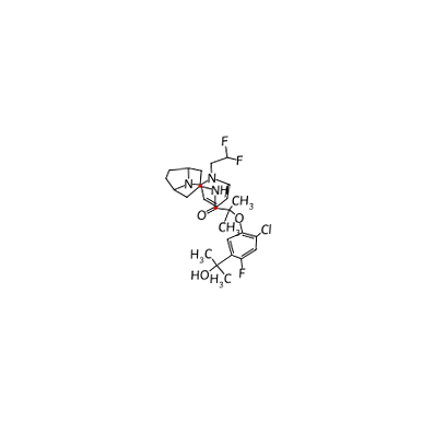 CC(C)(Oc1cc(C(C)(C)O)c(F)cc1Cl)C(=O)NC1CC2CCC(C1)N2C1C=CC=CN1CC(F)F